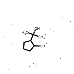 CC(C)(O)C1CCCC1O